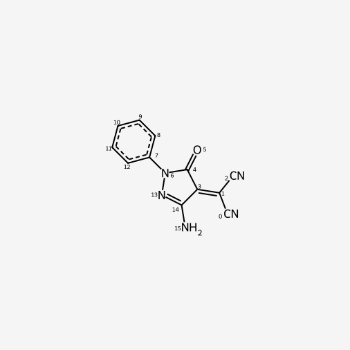 N#CC(C#N)=C1C(=O)N(c2ccccc2)N=C1N